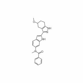 COC1CCc2[nH]nc(-c3cc4ccc(N(C)C(=O)c5ccccc5)cc4[nH]3)c2C1